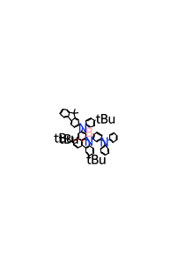 CC(C)(C)c1ccc(-c2cc(C(C)(C)C)ccc2N2c3cc(N(c4ccccc4)c4ccccc4)ccc3B3c4cc(C(C)(C)C)ccc4N(c4ccc5c(c4)C(C)(C)c4ccccc4-5)c4cc(C(C)(C)C)cc2c43)cc1